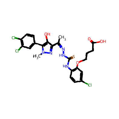 CC(=NNC(=S)Nc1ccc(Cl)cc1OCCCC(=O)O)c1nn(C)c(-c2ccc(Cl)c(Cl)c2)c1O